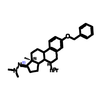 CCC[C@@H]1Cc2cc(OCc3ccccc3)ccc2C2CC[C@]3(C)/C(=N/N(C)C)CCC3C21